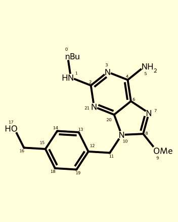 CCCCNc1nc(N)c2nc(OC)n(Cc3ccc(CO)cc3)c2n1